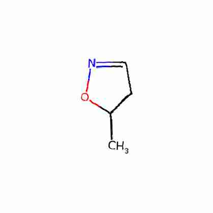 CC1CC=NO1